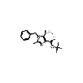 Cc1nc(C(=O)OC(C)(C)C)c(N)n1Cc1ccccc1